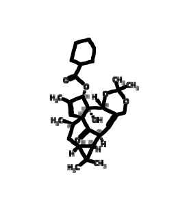 CC1=C[C@]23C(=O)[C@@H](C=C4COC(C)(C)O[C@H]4[C@]2(O)[C@H]1OC(=O)C1CCCCC1)[C@H]1[C@@H](C[C@H]3C)C1(C)C